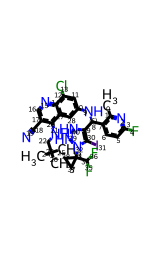 Cc1nc(F)ccc1[C@H](Nc1cc(Cl)c2ncc(C#N)c(NCC(C)(C)C)c2c1)C1=C(I)N(C2(C(F)F)CC2)NN1